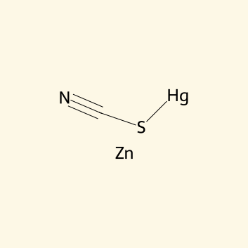 N#C[S][Hg].[Zn]